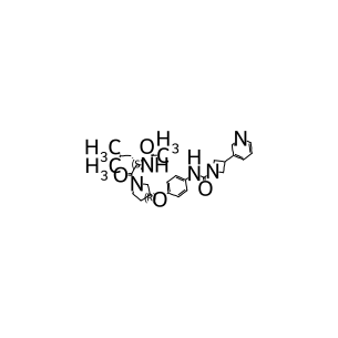 CC(=O)N[C@@H](CC(C)C)C(=O)N1CC[C@@H](Oc2ccc(NC(=O)N3CC(c4cccnc4)C3)cc2)C1